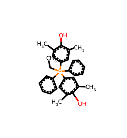 CCP(c1ccccc1)(c1ccccc1)(c1cc(C)c(O)c(C)c1)c1cc(C)c(O)c(C)c1